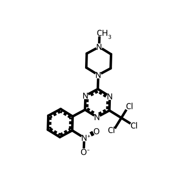 CN1CCN(c2nc(-c3ccccc3[N+](=O)[O-])nc(C(Cl)(Cl)Cl)n2)CC1